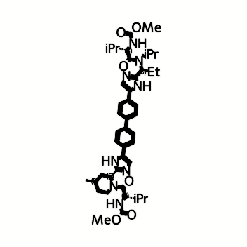 CC[C@@H](c1ncc(-c2ccc(-c3ccc(-c4cnc([C@@H]5C[C@H](C)CCN5C(=O)[C@@H](NC(=O)OC)C(C)C)[nH]4)cc3)cc2)[nH]1)N(C(=O)[C@@H](NC(=O)OC)C(C)C)C(C)C